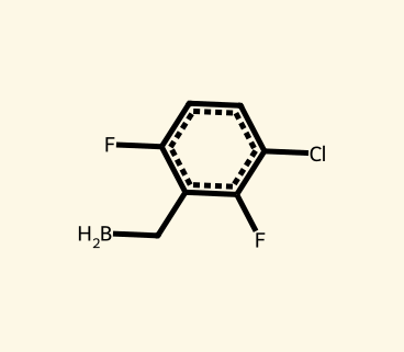 BCc1c(F)ccc(Cl)c1F